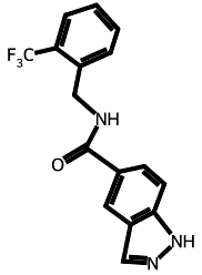 O=C(NCc1ccccc1C(F)(F)F)c1ccc2[nH]ncc2c1